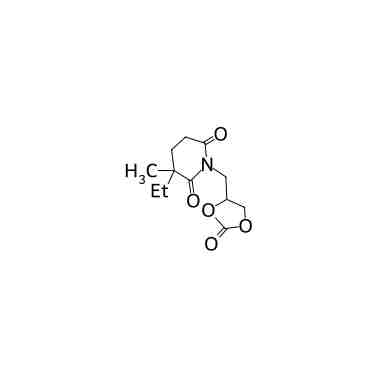 CCC1(C)CCC(=O)N(CC2COC(=O)O2)C1=O